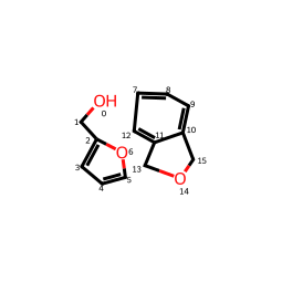 OCc1ccco1.c1ccc2c(c1)COC2